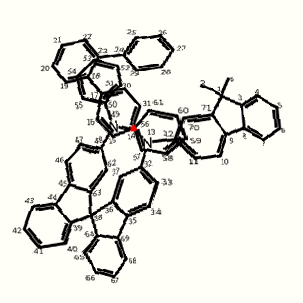 CC1(C)c2ccccc2-c2ccc(N(c3ccc(-c4ccccc4-c4ccccc4)cc3)c3ccc4c(c3)C3(c5ccccc5-c5ccc(N(c6ccccc6)c6ccccc6)cc53)c3ccccc3-4)cc21